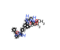 COC(=O)N[C@H](C(=O)N1CCC[C@H]1c1nc(-c2ccc(-c3ccc(-c4c[nH]c([C@@H]5CCCN5C(=O)Cc5ccccc5)n4)cc3)c3ccccc23)c[nH]1)C(C)C